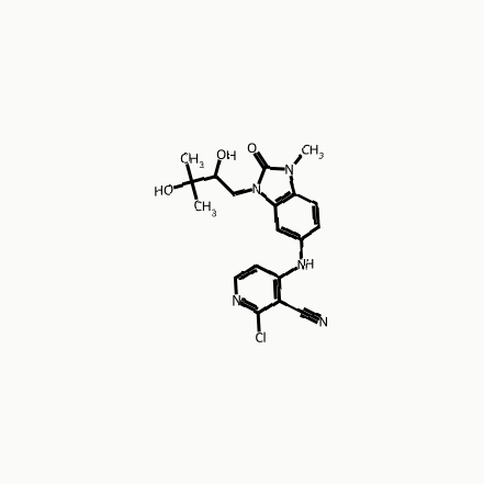 Cn1c(=O)n(CC(O)C(C)(C)O)c2cc(Nc3ccnc(Cl)c3C#N)ccc21